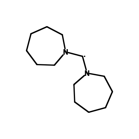 [CH](N1CCCCCC1)N1CCCCCC1